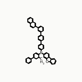 CC1CC(c2ccccc2)=CC=C1N(c1ccc(-c2ccc(-c3cccc(-c4ccc5ccccc5c4)c3)cc2)cc1)c1ccc2c(c1)oc1ccccc12